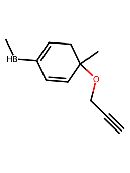 C#CCOC1(C)C=CC(BC)=CC1